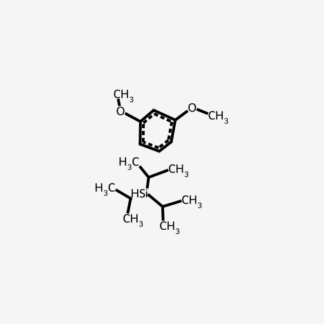 CC(C)[SiH](C(C)C)C(C)C.COc1cccc(OC)c1